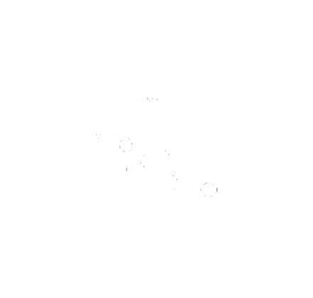 COCCCOc1cc(C(=O)N(C[C@@H]2CNC[C@H]2CN(C(=O)[C@H]2CCc3ccccc3C2)C2CC2)C(C)C)ccc1OC